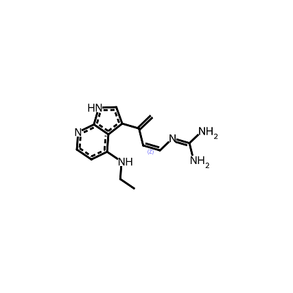 C=C(/C=C\N=C(N)N)c1c[nH]c2nccc(NCC)c12